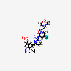 C[C@]1(CO)CNc2c(C#N)cc(-c3ccnc(Nc4cc(F)cn(CCN5CCOCC5)c4=O)n3)cc21